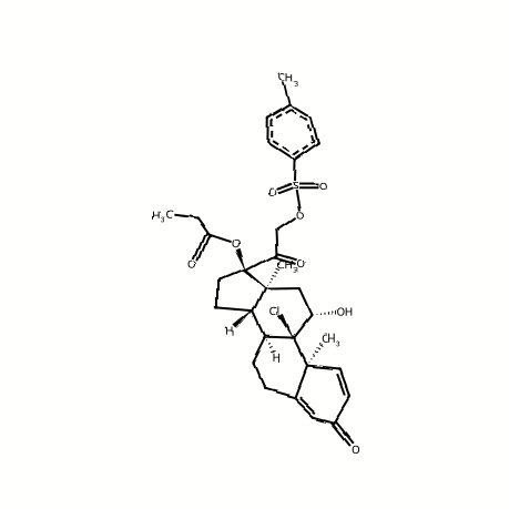 CCC(=O)O[C@]1(C(=O)COS(=O)(=O)c2ccc(C)cc2)CC[C@H]2[C@@H]3CCC4=CC(=O)C=C[C@]4(C)[C@@]3(Cl)[C@@H](O)C[C@@]21C